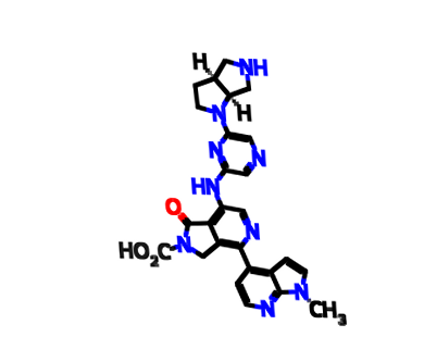 Cn1ccc2c(-c3ncc(Nc4cncc(N5CC[C@H]6CNC[C@H]65)n4)c4c3CN(C(=O)O)C4=O)ccnc21